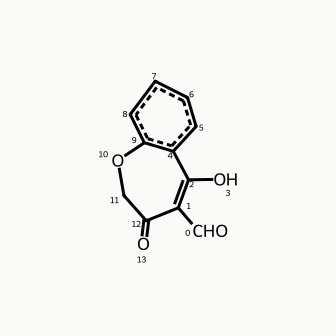 O=CC1=C(O)c2ccccc2OCC1=O